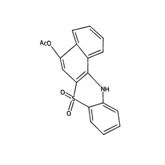 CC(=O)Oc1cc2c(c3ccccc13)Nc1ccccc1S2(=O)=O